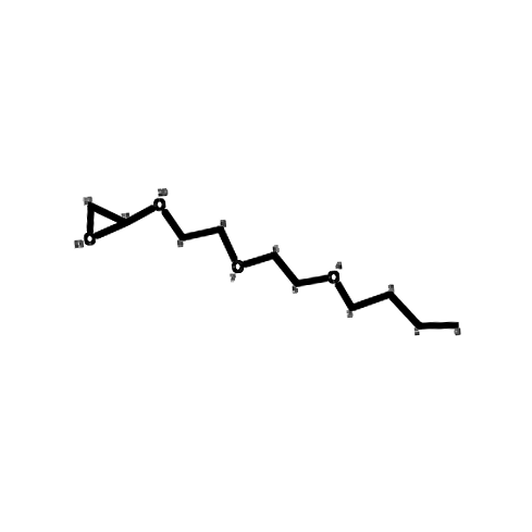 CCCCOCCOCCOC1CO1